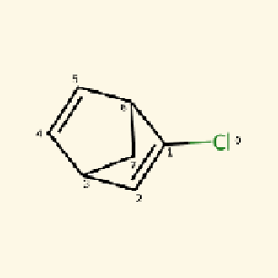 ClC1=CC2C=CC1C2